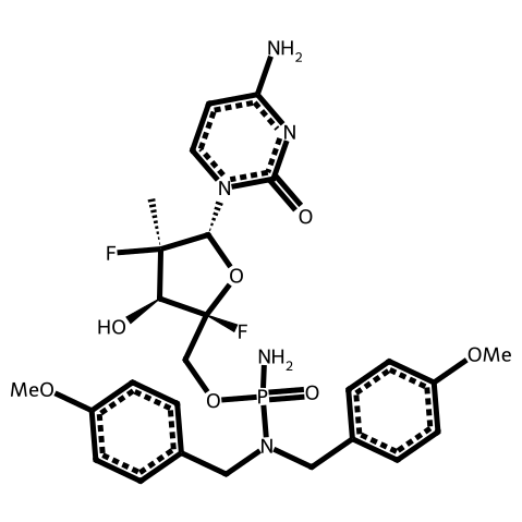 COc1ccc(CN(Cc2ccc(OC)cc2)P(N)(=O)OC[C@@]2(F)O[C@@H](n3ccc(N)nc3=O)[C@](C)(F)[C@@H]2O)cc1